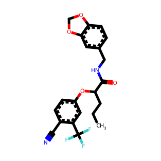 CCCC(Oc1ccc(C#N)c(C(F)(F)F)c1)C(=O)NCc1ccc2c(c1)OCO2